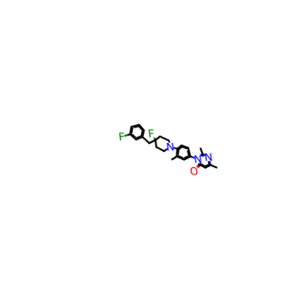 Cc1cc(=O)n(-c2ccc(N3CCC(F)(Cc4cccc(F)c4)CC3)c(C)c2)c(C)n1